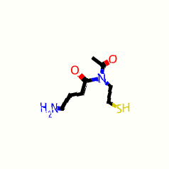 CC(=O)N(CCS)C(=O)CCCN